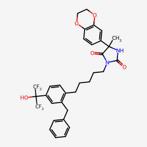 CC1(c2ccc3c(c2)OCCO3)NC(=O)N(CCCCCc2ccc(C(O)(C(F)(F)F)C(F)(F)F)cc2Cc2ccccc2)C1=O